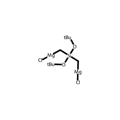 CC(C)(C)O[Si]([CH2][Mg][Cl])([CH2][Mg][Cl])OC(C)(C)C